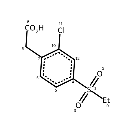 CCS(=O)(=O)c1ccc(CC(=O)O)c(Cl)c1